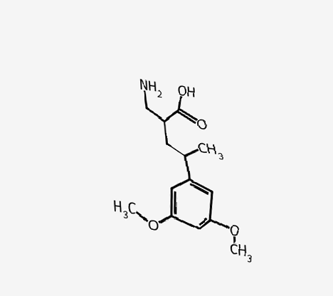 COc1cc(OC)cc(C(C)CC(CN)C(=O)O)c1